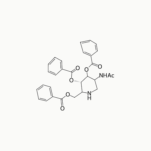 CC(=O)NC1CNC(COC(=O)c2ccccc2)[C@H](OC(=O)c2ccccc2)C1OC(=O)c1ccccc1